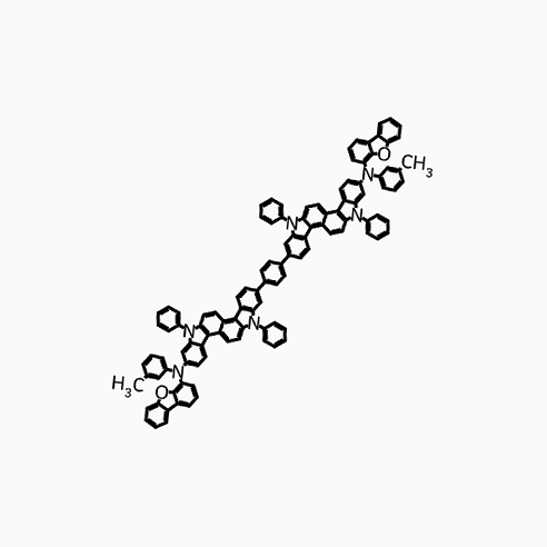 Cc1cccc(N(c2ccc3c4c5ccc6c(c5ccc4n(-c4ccccc4)c3c2)c2ccc(-c3ccc(-c4ccc5c7c8ccc9c(c8ccc7n(-c7ccccc7)c5c4)c4ccc(N(c5cccc(C)c5)c5cccc7c5oc5ccccc57)cc4n9-c4ccccc4)cc3)cc2n6-c2ccccc2)c2cccc3c2oc2ccccc23)c1